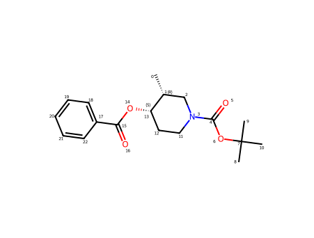 C[C@@H]1CN(C(=O)OC(C)(C)C)CC[C@@H]1OC(=O)c1ccccc1